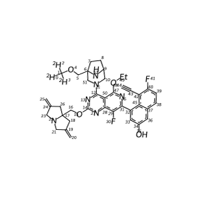 [2H]C([2H])([2H])OCC12CCC(CN(c3nc(OCC45CC(=C)CN4CC(=C)C5)nc4c(F)c(-c5cc(O)cc6ccc(F)c(C#C)c56)nc(OCC)c34)C1)N2